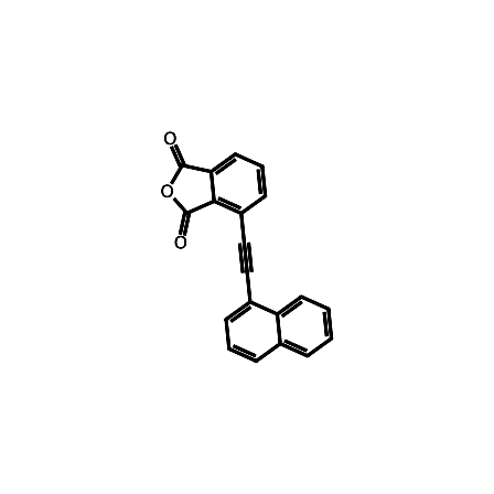 O=C1OC(=O)c2c(C#Cc3cccc4ccccc34)cccc21